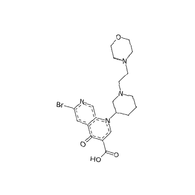 O=C(O)c1cn(C2CCCN(CCN3CCOCC3)C2)c2cnc(Br)cc2c1=O